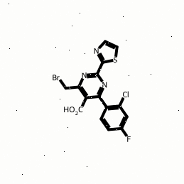 O=C(O)c1c(CBr)nc(-c2nccs2)nc1-c1ccc(F)cc1Cl